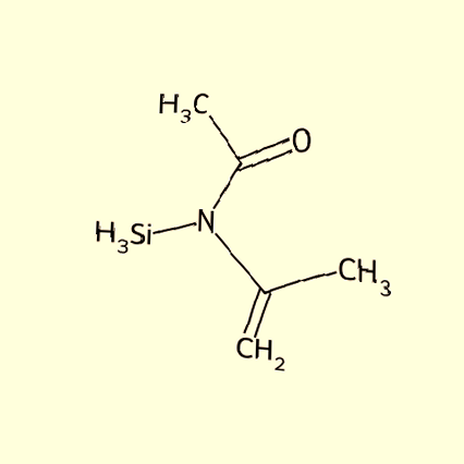 C=C(C)N([SiH3])C(C)=O